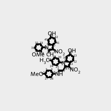 COc1ccc(NC=Cc2c([N+](=O)[O-])c3ccc(O)cc3n2-c2ccc(C)cc2)cc1.COc1ccccc1-n1c(C)c([N+](=O)[O-])c2ccc(O)cc21